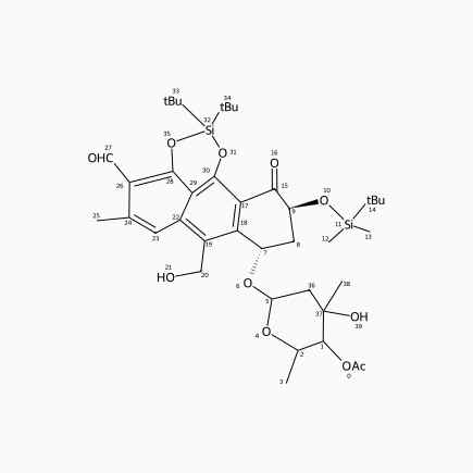 CC(=O)OC1C(C)OC(O[C@H]2C[C@H](O[Si](C)(C)C(C)(C)C)C(=O)c3c2c(CO)c2cc(C)c(C=O)c4c2c3O[Si](C(C)(C)C)(C(C)(C)C)O4)CC1(C)O